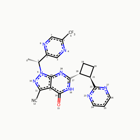 C[C@H](c1cnc(C(F)(F)F)cn1)n1nc(C#N)c2c(=O)[nH]c([C@@H]3CC[C@H]3c3ncccn3)nc21